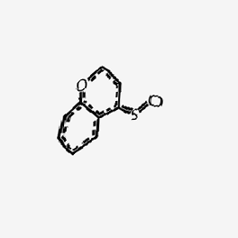 O=S=c1ccoc2ccccc12